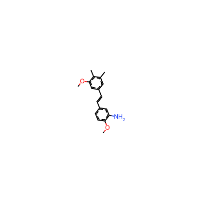 COc1ccc(C=Cc2cc(C)c(C)c(OC)c2)cc1N